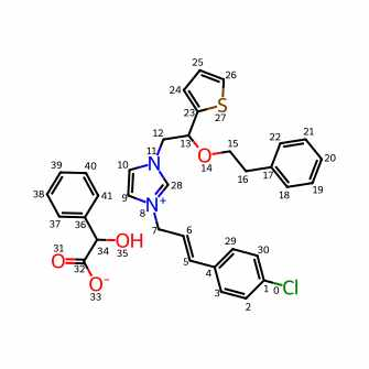 Clc1ccc(/C=C/C[n+]2ccn(CC(OCCc3ccccc3)c3cccs3)c2)cc1.O=C([O-])C(O)c1ccccc1